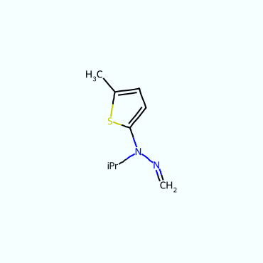 C=NN(c1ccc(C)s1)C(C)C